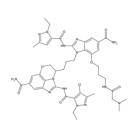 CCn1nc(C)cc1C(=O)Nc1nc2cc(C(N)=O)cc(OCCCNC(=O)CN(C)C)c2n1CCCC1COc2cc(C(N)=O)cc3nc(NC(=O)c4c(Cl)c(C)nn4CC)n1c23